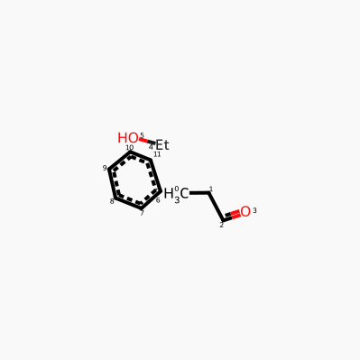 CCC=O.CCO.c1ccccc1